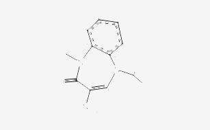 CC(C)N1C(=O)C(N)=CN(CC(F)(F)F)c2ccccc21